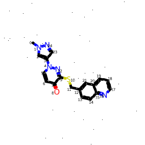 Cn1cc(-n2ccc(=O)c(SCc3ccc4ncccc4c3)n2)cn1